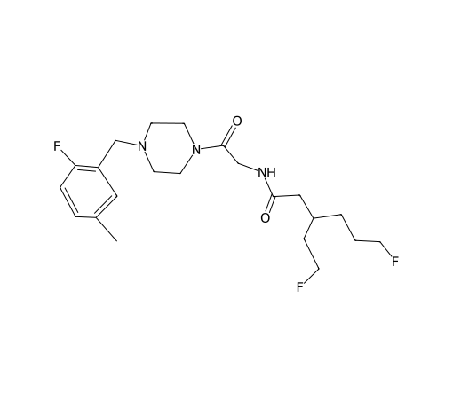 Cc1ccc(F)c(CN2CCN(C(=O)CNC(=O)CC(CCF)CCCF)CC2)c1